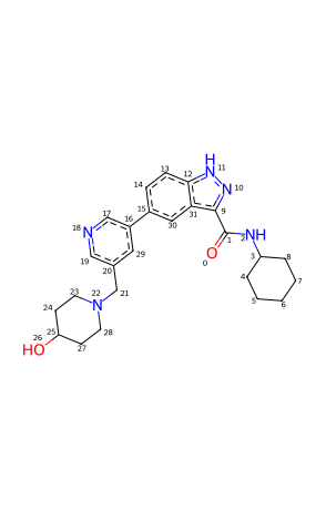 O=C(NC1CCCCC1)c1n[nH]c2ccc(-c3cncc(CN4CCC(O)CC4)c3)cc12